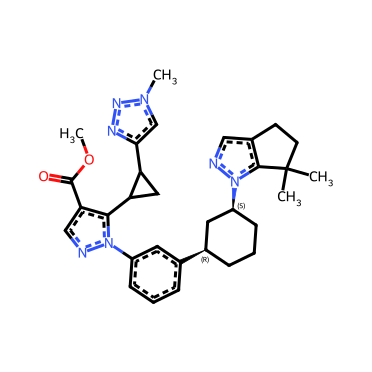 COC(=O)c1cnn(-c2cccc([C@@H]3CCC[C@H](n4ncc5c4C(C)(C)CC5)C3)c2)c1C1CC1c1cn(C)nn1